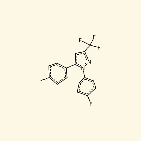 Cc1ccc(-c2cc(C(F)(F)F)nn2-c2ccc(F)cc2)cc1